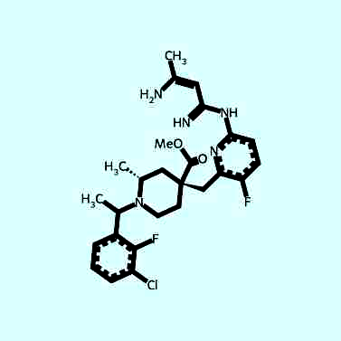 COC(=O)[C@]1(Cc2nc(NC(=N)/C=C(/C)N)ccc2F)CCN(C(C)c2cccc(Cl)c2F)[C@H](C)C1